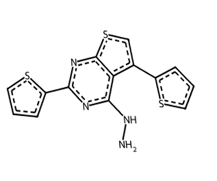 NNc1nc(-c2cccs2)nc2scc(-c3cccs3)c12